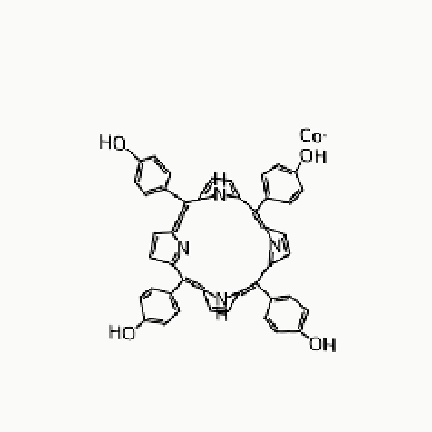 Oc1ccc(-c2c3nc(c(-c4ccc(O)cc4)c4ccc([nH]4)c(-c4ccc(O)cc4)c4nc(c(-c5ccc(O)cc5)c5ccc2[nH]5)C=C4)C=C3)cc1.[Co]